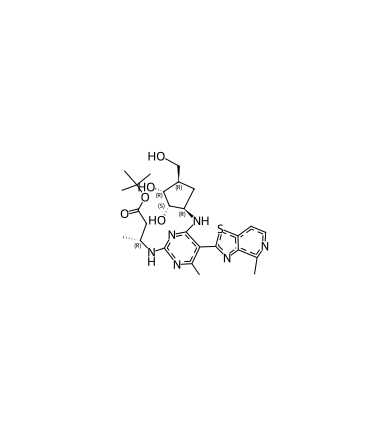 Cc1nc(N[C@H](C)CC(=O)OC(C)(C)C)nc(N[C@@H]2C[C@H](CO)[C@@H](O)[C@H]2O)c1-c1nc2c(C)nccc2s1